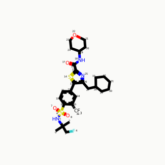 CC(C)(CF)NS(=O)(=O)c1ccc(-c2sc(C(=O)NC3CCOCC3)nc2CC2CCCCC2)cc1C(F)(F)F